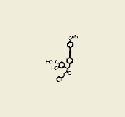 CCCOc1ccc(C#Cc2ccc(CN(C(=O)CCC3CCCC3)c3ccc(C(=O)O)c(O)c3)cc2)cc1